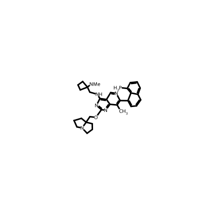 CNC1(CNc2nc(OCC34CCCN3CCC4)nc3c(C)c(-c4cccc5cccc(P)c45)ncc23)CCC1